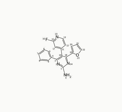 Nc1nc(-c2ccccc2)c(-c2ccnc(F)c2)c(-c2ccco2)n1